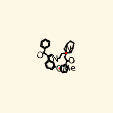 COc1cccc2c(C(=O)c3ccccc3)cn(CCCN3C4CCC3CC(CC(=O)c3ccccc3)C4)c12